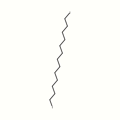 ICCCCCCCCCCCCCI